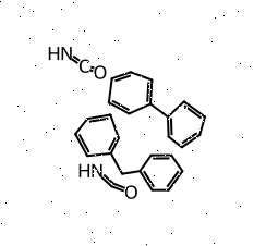 N=C=O.N=C=O.c1ccc(-c2ccccc2)cc1.c1ccc(Cc2ccccc2)cc1